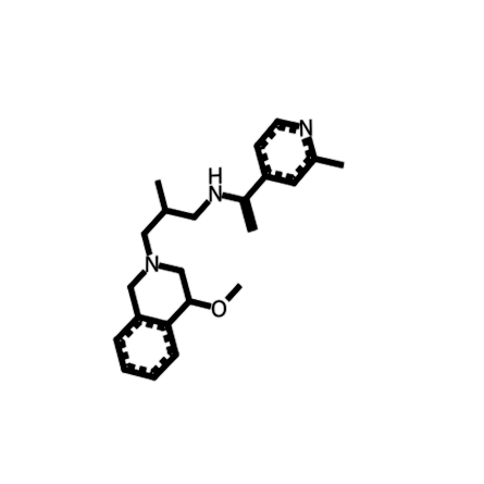 C=C(NCC(C)CN1Cc2ccccc2C(OC)C1)c1ccnc(C)c1